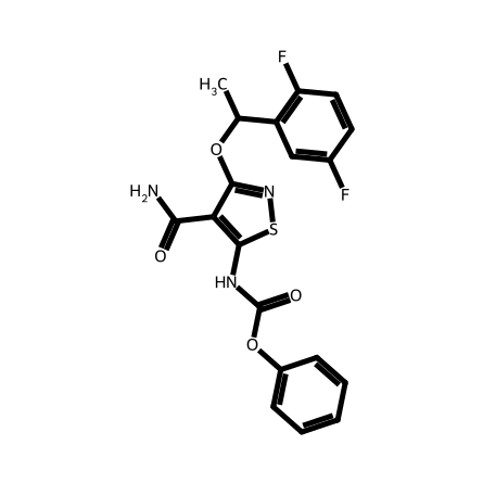 CC(Oc1nsc(NC(=O)Oc2ccccc2)c1C(N)=O)c1cc(F)ccc1F